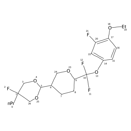 CCCC1(F)COC(C2CCC(C(F)(F)Oc3ccc(OCC)c(F)c3)OC2)OC1